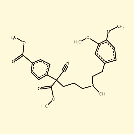 COC(=O)c1ccc(C(C#N)(CCCN(C)CCc2ccc(OC)c(OC)c2)C(=O)OC)cc1